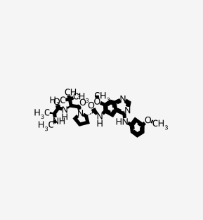 CN[C@@H](C)C(=O)N[C@H](C(=O)N1CCC[C@H]1C(=O)Nc1cc2c(Nc3cccc(OC)c3)ncnc2cc1OC)C(C)(C)C